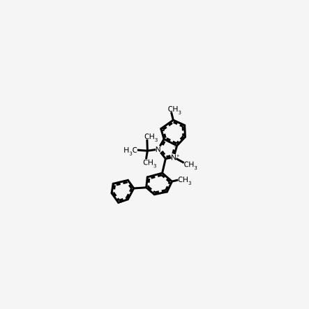 Cc1ccc2c(c1)n(C(C)(C)C)c(-c1cc(-c3ccccc3)ccc1C)[n+]2C